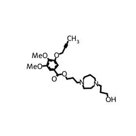 CC#CCOc1cc(C(=O)OCCCN2CCCN(CCCO)CC2)cc(OC)c1OC